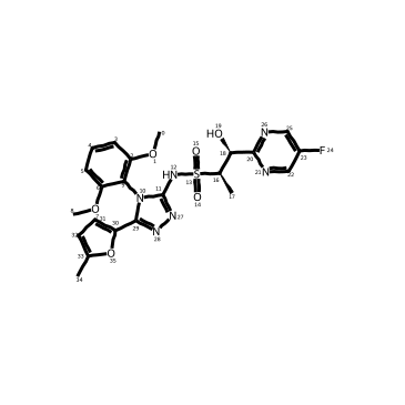 COc1cccc(OC)c1-n1c(NS(=O)(=O)[C@H](C)[C@@H](O)c2ncc(F)cn2)nnc1-c1ccc(C)o1